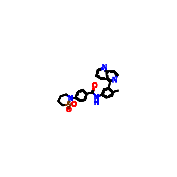 Cc1ccc(NC(=O)c2ccc(N3CCCCS3(=O)=O)cc2)cc1-c1nccc2ncccc12